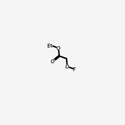 CCOC(=O)COF